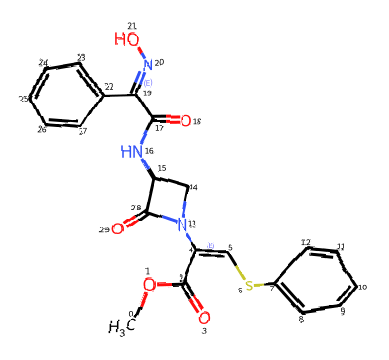 COC(=O)/C(=C\Sc1ccccc1)N1CC(NC(=O)/C(=N/O)c2ccccc2)C1=O